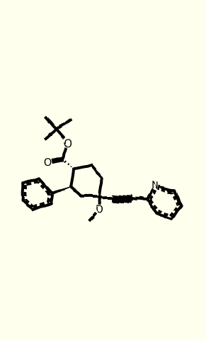 COC1(C#Cc2ccccn2)CC[C@@H](C(=O)OC(C)(C)C)[C@H](c2ccccc2)C1